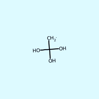 [CH2]C(O)(O)O